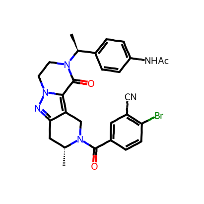 CC(=O)Nc1ccc([C@H](C)N2CCn3nc4c(c3C2=O)CN(C(=O)c2ccc(Br)c(C#N)c2)[C@H](C)C4)cc1